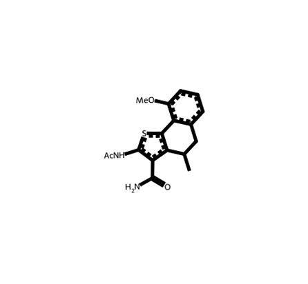 COc1cccc2c1-c1sc(NC(C)=O)c(C(N)=O)c1C(C)C2